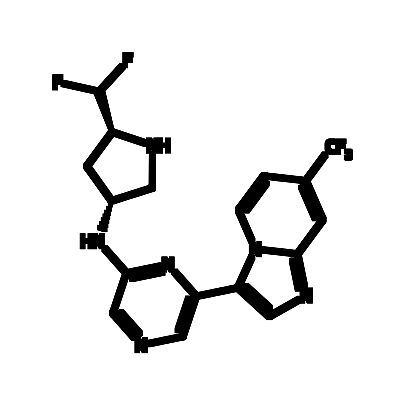 FC(F)[C@@H]1C[C@@H](Nc2cncc(-c3cnc4cc(C(F)(F)F)ccn34)n2)CN1